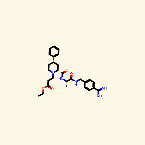 CCOC(=O)CCN1CC[C@H](c2ccccc2)C[C@@H]1C(=O)N[C@@H](C)C(=O)NCc1ccc(C(=N)N)cc1